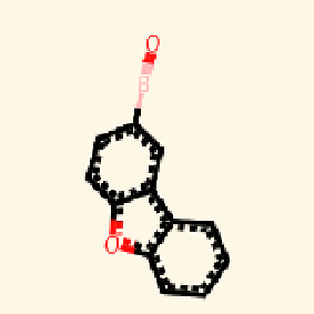 O=Bc1ccc2oc3ccccc3c2c1